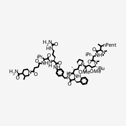 CCCCCC(C)C(C(=O)N[C@H](C(=O)N(C)[C@@H]([C@@H](C)CC)[C@@H](CC(=O)N1CCC[C@H]1[C@H](OC)[C@@H](C)C(=O)N[C@@H](Cc1ccccc1)C(=O)NCc1ccc(NC(=O)[C@H](CCCNC(N)=O)NC(=O)C(NC(=O)CCC(=O)N2CCC(C(N)=O)C(C)C2)C(C)C)cc1)OC)C(C)C)N(C)C